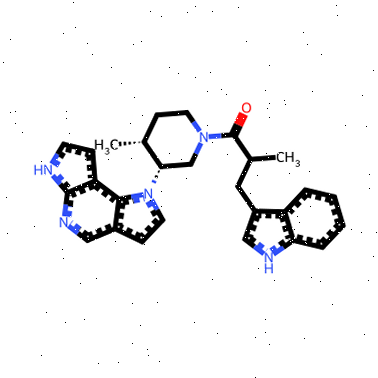 CC(Cc1c[nH]c2ccccc12)C(=O)N1CC[C@@H](C)[C@@H](n2ccc3cnc4[nH]ccc4c32)C1